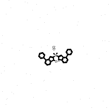 C[Si]1(C)C2=Cc3c(-c4ccccc4)cccc3[CH]2[Zr+2][CH]2C1=Cc1c(-c3ccccc3)cccc12.[Cl-].[Cl-]